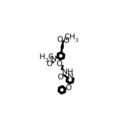 COC(=O)C#Cc1ccc(OCCNC(=O)c2cc(Oc3ccccc3)ccn2)c(N(C)C=O)c1